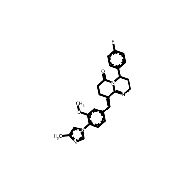 COc1cc(/C=C2\CCC(=O)N3C2=NCCC3c2ccc(F)cc2)ccc1-n1cnc(C)c1